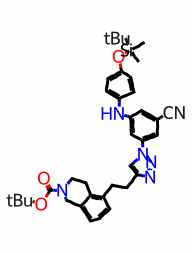 CC(C)(C)OC(=O)N1CCc2c(CCc3cn(-c4cc(C#N)cc(Nc5ccc(O[Si](C)(C)C(C)(C)C)cc5)c4)nn3)cccc2C1